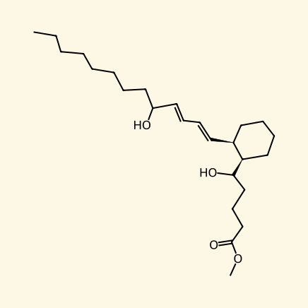 CCCCCCCCC(O)/C=C/C=C/[C@H]1CCCC[C@H]1C(O)CCCC(=O)OC